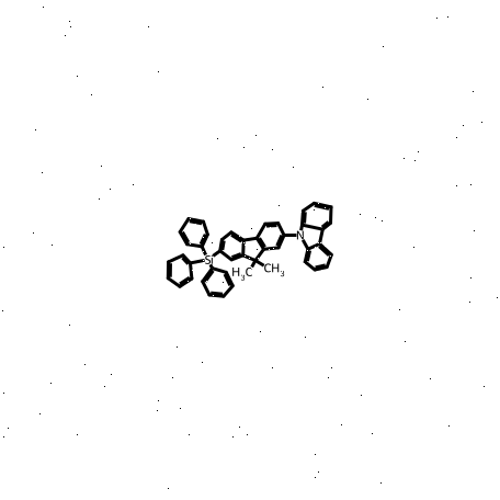 CC1(C)c2cc(-n3c4ccccc4c4ccccc43)ccc2-c2ccc([Si](c3ccccc3)(c3ccccc3)c3ccccc3)cc21